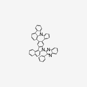 c1ccc(-c2nc3ccccc3nc2-n2c3cc4c(cc3c3c5ccccc5ccc32)-c2cccc3c5ccccc5n(c23)-c2ccccc2-4)cc1